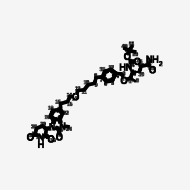 C[C@@H](OCc1ccc(CCCCCOCCCc2ccc3c(c2)n(C)c(=O)n3C2CCC(=O)NC2=O)cc1)[C@H](CCC(N)=O)NC(=O)OC(C)(C)C